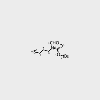 CC(C)(C)OC(=O)N(C=O)CCCS